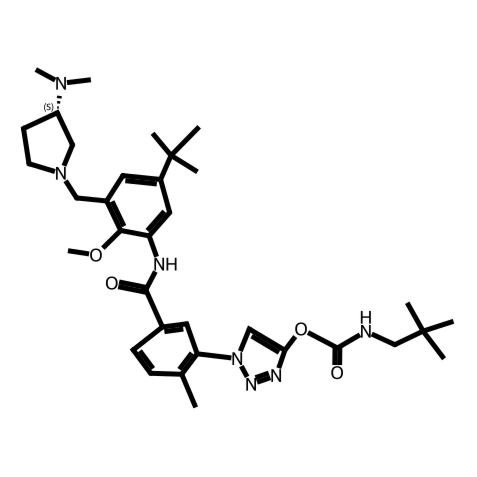 COc1c(CN2CC[C@H](N(C)C)C2)cc(C(C)(C)C)cc1NC(=O)c1ccc(C)c(-n2cc(OC(=O)NCC(C)(C)C)nn2)c1